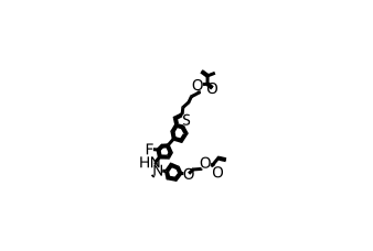 C=CC(=O)OCCOc1ccc(N(C)Nc2ccc(-c3ccc4sc(CCCCOC(=O)C(=C)C)cc4c3)cc2F)cc1